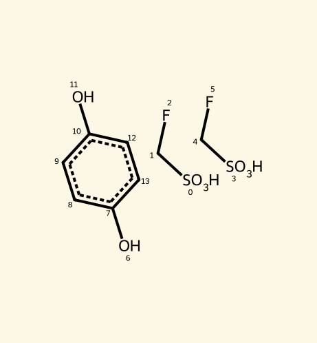 O=S(=O)(O)CF.O=S(=O)(O)CF.Oc1ccc(O)cc1